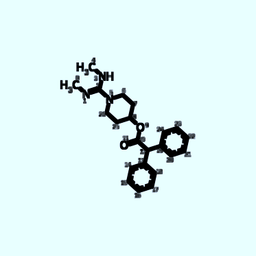 CN=C(NC)N1CCC(OC(=O)C(c2ccccc2)c2ccccc2)CC1